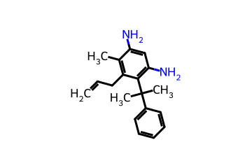 C=CCc1c(C)c(N)cc(N)c1C(C)(C)c1ccccc1